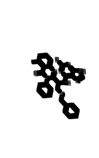 Cc1cccc2nc(C(COCc3ccccc3)Nc3nc(F)nc4[nH]cnc34)n(-c3ccccc3)c(=O)c12